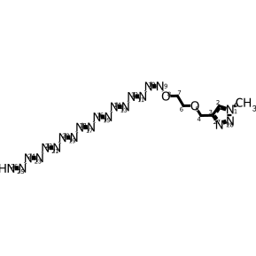 Cn1cc(COCCO\N=N/N=N/N=N/N=N/N=N/N=N/N=N/N=N/N=N)nn1